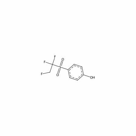 O=S(=O)(c1ccc(O)cc1)C(F)(F)CF